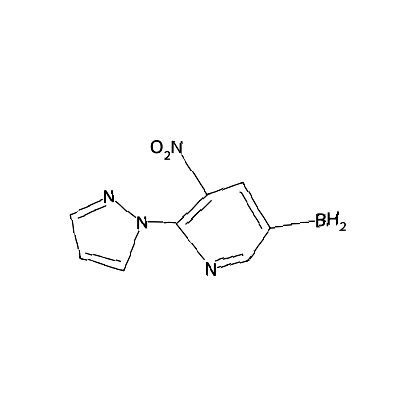 Bc1cnc(-n2cccn2)c([N+](=O)[O-])c1